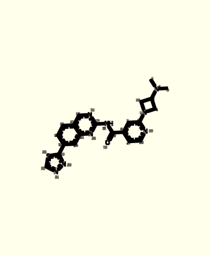 CN(C)C1CN(c2cc(C(=O)Nc3ncc4ccc(-c5nncs5)cc4n3)ccn2)C1